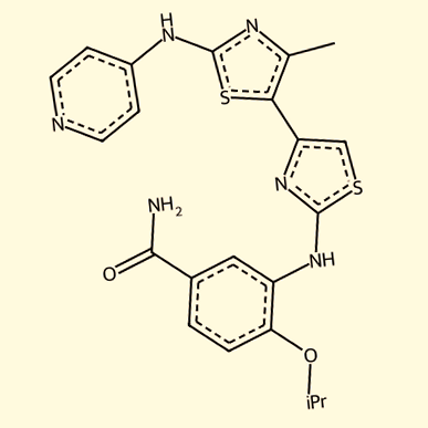 Cc1nc(Nc2ccncc2)sc1-c1csc(Nc2cc(C(N)=O)ccc2OC(C)C)n1